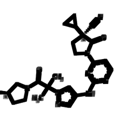 CC(C)(C(=O)N1CC[C@@H](O)C1)n1cc(Nc2nccc(N3CC[C@@](C#N)(C4CC4)C3=O)n2)cn1